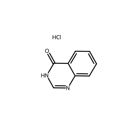 Cl.O=c1[nH]cnc2ccccc12